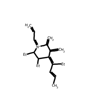 C=C/C=[N+]1\C(=C)C(=C)/C(=C(/C=CC)CC)C(CC)C1CC